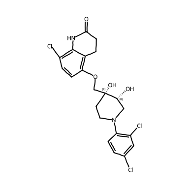 O=C1CCc2c(OC[C@]3(O)CCN(c4ccc(Cl)cc4Cl)C[C@H]3O)ccc(Cl)c2N1